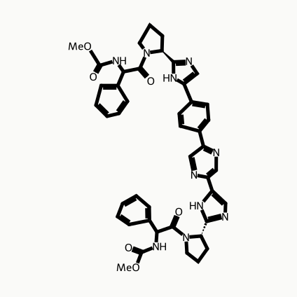 COC(=O)NC(C(=O)N1CCC[C@H]1c1ncc(-c2ccc(-c3cnc(-c4cnc([C@@H]5CCCN5C(=O)C(NC(=O)OC)c5ccccc5)[nH]4)cn3)cc2)[nH]1)c1ccccc1